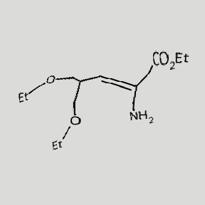 CCOC(=O)C(N)=CC(OCC)OCC